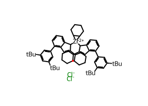 CC(C)(C)c1cc(-c2cccc3c2C=C(C2CCCCC2)[CH]3[Zr+2]2([CH]3C(C4CCCCC4)=Cc4c(-c5cc(C(C)(C)C)cc(C(C)(C)C)c5)cccc43)[CH]3CCCC[CH]32)cc(C(C)(C)C)c1.[Cl-].[Cl-]